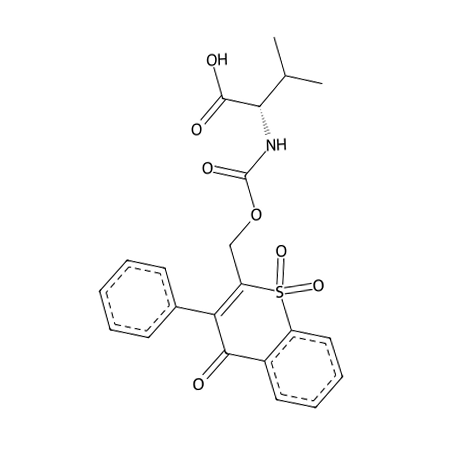 CC(C)[C@H](NC(=O)OCC1=C(c2ccccc2)C(=O)c2ccccc2S1(=O)=O)C(=O)O